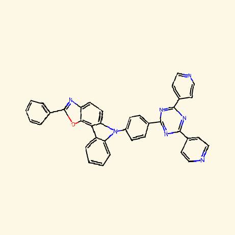 c1ccc(-c2nc3ccc4c(c5ccccc5n4-c4ccc(-c5nc(-c6ccncc6)nc(-c6ccncc6)n5)cc4)c3o2)cc1